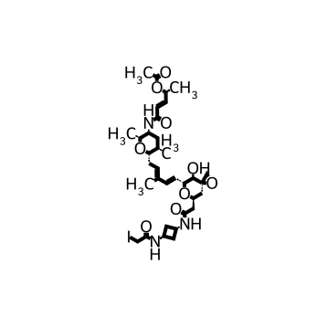 CC(=O)O[C@@H](C)C=CC(=O)N[C@@H]1C[C@H](C)[C@H](CC=C(C)C=C[C@H]2O[C@H](CC(=O)N[C@H]3C[C@H](NC(=O)CI)C3)C[C@@]3(CO3)[C@@H]2O)O[C@@H]1C